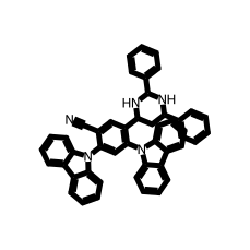 N#Cc1cc(C2CC(c3ccccc3)NC(c3ccccc3)N2)c(-n2c3ccccc3c3ccccc32)cc1-n1c2ccccc2c2ccccc21